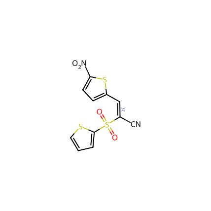 N#C/C(=C/c1ccc([N+](=O)[O-])s1)S(=O)(=O)c1cccs1